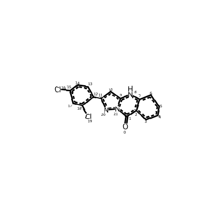 O=c1c2ccccc2[nH]c2cc(-c3ccc(Cl)cc3Cl)nn12